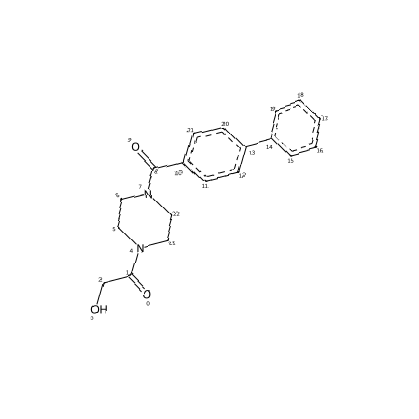 O=C(CO)N1CCN(C(=O)c2ccc(-c3ccccc3)cc2)CC1